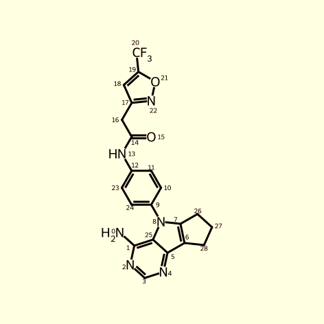 Nc1ncnc2c3c(n(-c4ccc(NC(=O)Cc5cc(C(F)(F)F)on5)cc4)c12)CCC3